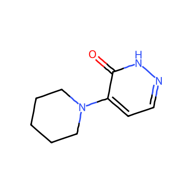 O=c1[nH]nccc1N1CCCCC1